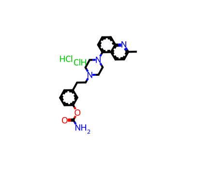 Cc1ccc2c(N3CCN(CCc4cccc(OC(N)=O)c4)CC3)cccc2n1.Cl.Cl